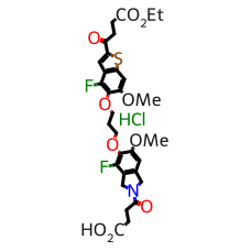 CCOC(=O)CCC(=O)c1cc2c(F)c(OCCCOc3c(OC)cc4c(c3F)CN(C(=O)CCC(=O)O)C4)c(OC)cc2s1.Cl